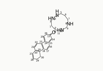 C1CCNNCCCNCNC1.O=C1C=c2ccc3c4c(ccc3c2=CC1)C=CCC4